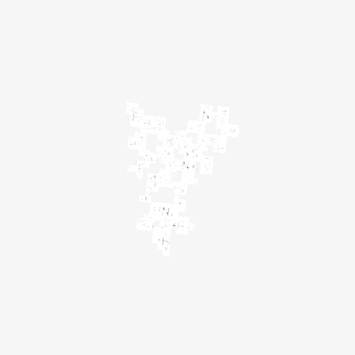 [2H]C([2H])([2H])NCc1cn(S(=O)(=O)c2cccnc2)c(-c2ccc(F)cc2F)c1OC